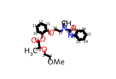 COCCOC(C)C(=O)Oc1ccccc1OCCN(C)c1nc2ccccc2o1